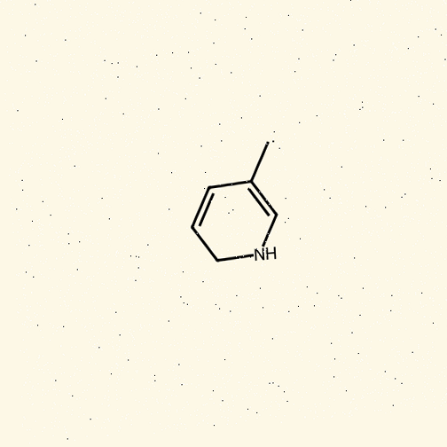 [CH2]C1=CNCC=C1